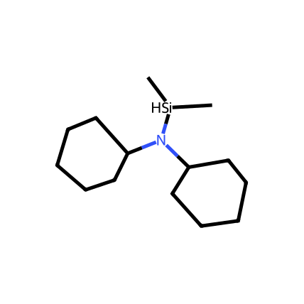 C[SiH](C)N(C1CCCCC1)C1CCCCC1